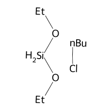 CCCCCl.CCO[SiH2]OCC